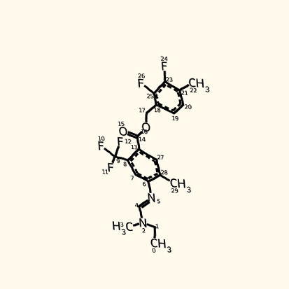 CCN(C)/C=N/c1cc(C(F)(F)F)c(C(=O)OCc2ccc(C)c(F)c2F)cc1C